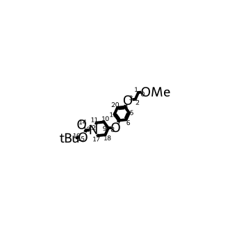 COCCOc1ccc(OC2CCN(C(=O)OC(C)(C)C)CC2)cc1